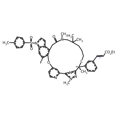 CCOC(=O)/C=C/c1cccc([C@@]2(C)CCCCC(C)(C)CN(C)C(=O)Cc3c(c(F)cc4c3ccn4S(=O)(=O)c3ccc(C)cc3)Oc3ccnc(c3)-c3nc2nn3C)c1